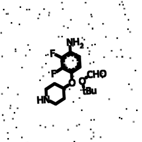 CC(C)(C)OC=O.Nc1ccc(OC2CCNCC2)c(F)c1F